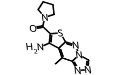 Cc1c2c(N)c(C(=O)N3CCCC3)sc2nn2cnnc12